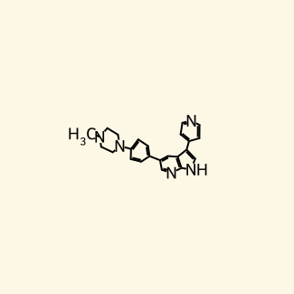 CN1CCN(c2ccc(-c3cnc4[nH]cc(-c5ccncc5)c4c3)cc2)CC1